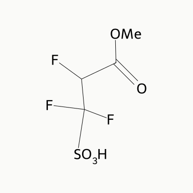 COC(=O)C(F)C(F)(F)S(=O)(=O)O